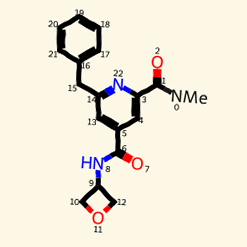 CNC(=O)c1cc(C(=O)NC2COC2)cc(Cc2ccccc2)n1